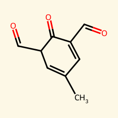 CC1=CC(C=O)C(=O)C(C=O)=C1